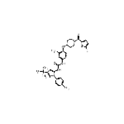 Cc1ccc(-n2nc(C(C)(C)C)cc2NC(=O)Nc2cnc(OC3CCN(C(=O)c4ccc(Cl)s4)CC3)c(C)c2)cc1